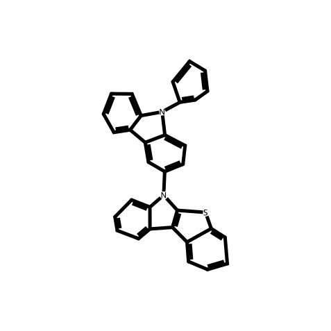 c1ccc(-n2c3ccccc3c3cc(-n4c5ccccc5c5c6ccccc6sc54)ccc32)cc1